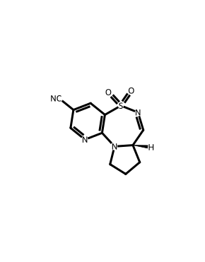 N#Cc1cnc2c(c1)S(=O)(=O)N=C[C@@H]1CCCN21